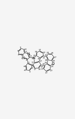 c1ccc(-c2nc3ccccc3nc2-n2c3cccc4c5cccc6oc7cccc(c8cccc2c8c43)c7c65)cc1